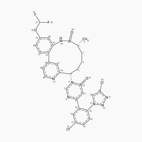 C[C@@H]1CCC[C@H](n2cnc(-c3cc(Cl)ccc3-n3cc(Cl)nn3)cc2=O)c2cc(ccn2)-c2ccc(OC(F)F)cc2NC1=O